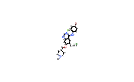 COc1cc2c(Nc3ccc(Br)cc3F)ncnc2cc1OCC1CCN(C)CC1.Cl